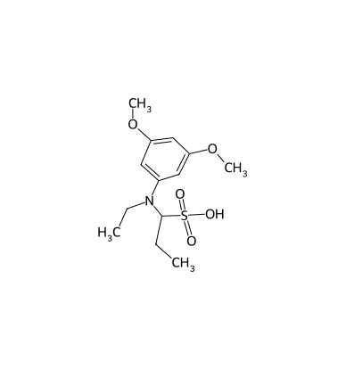 CCC(N(CC)c1cc(OC)cc(OC)c1)S(=O)(=O)O